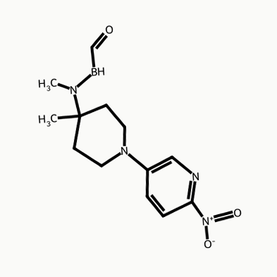 CN(BC=O)C1(C)CCN(c2ccc([N+](=O)[O-])nc2)CC1